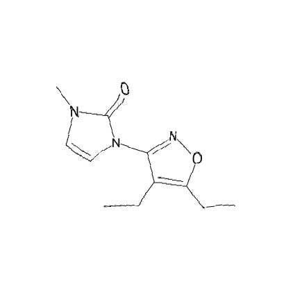 CCc1onc(-n2ccn(C)c2=O)c1CC